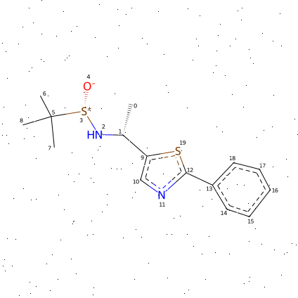 C[C@@H](N[S@@+]([O-])C(C)(C)C)c1cnc(-c2ccccc2)s1